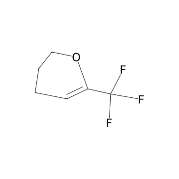 FC(F)(F)C1=CCCCO1